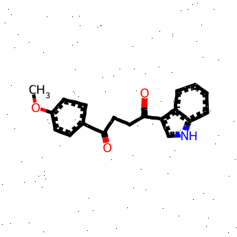 COc1ccc(C(=O)CCC(=O)c2c[nH]c3ccccc23)cc1